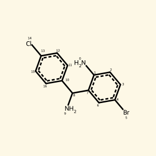 Nc1ccc(Br)cc1C(N)c1ccc(Cl)cc1